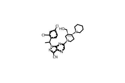 CC(c1ccc(Cl)cc1Cl)n1nc(C#N)c2ncc(N3CC[C@H](N4CCCCC4)[C@H](CO)C3)nc21